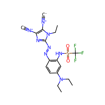 [C-]#[N+]c1nc(/N=N/c2ccc(N(CC)CC)cc2NS(=O)(=O)C(F)(F)F)n(CC)c1[N+]#[C-]